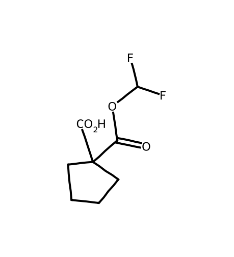 O=C(O)C1(C(=O)OC(F)F)CCCC1